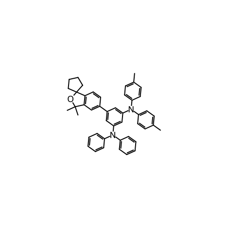 Cc1ccc(N(c2ccc(C)cc2)c2cc(-c3ccc4c(c3)C(C)(C)OC43CCCC3)cc(N(c3ccccc3)c3ccccc3)c2)cc1